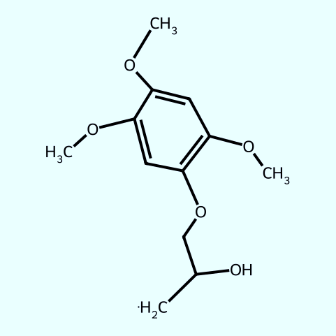 [CH2]C(O)COc1cc(OC)c(OC)cc1OC